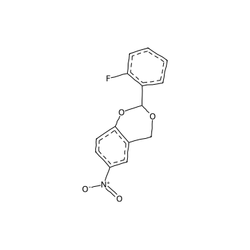 O=[N+]([O-])c1ccc2c(c1)COC(c1ccccc1F)O2